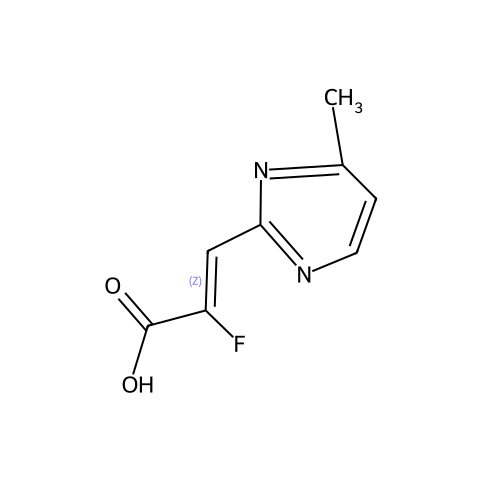 Cc1ccnc(/C=C(\F)C(=O)O)n1